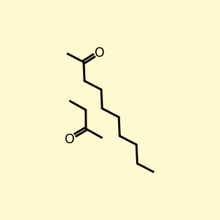 CCC(C)=O.CCCCCCCCC(C)=O